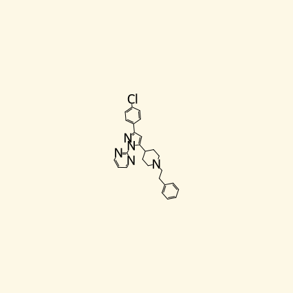 Clc1ccc(-c2cc(C3CCN(CCc4ccccc4)CC3)n(-c3ncccn3)n2)cc1